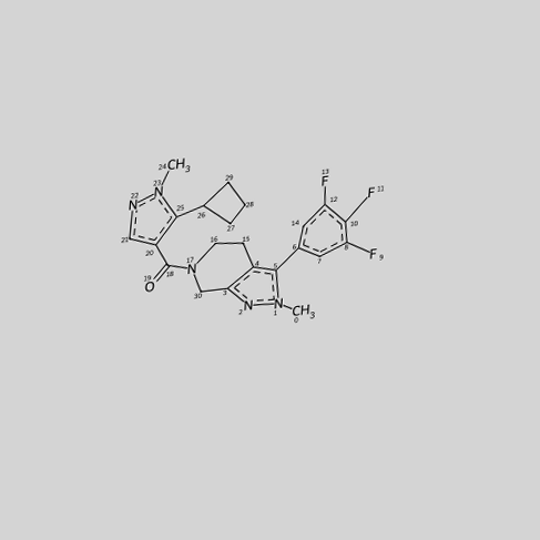 Cn1nc2c(c1-c1cc(F)c(F)c(F)c1)CCN(C(=O)c1cnn(C)c1C1CCC1)C2